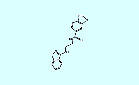 O=C(NCCNc1nsc2ccccc12)c1ccc2c(c1)OCO2